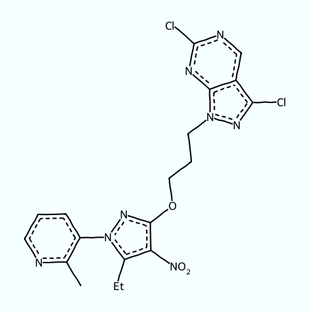 CCc1c([N+](=O)[O-])c(OCCCn2nc(Cl)c3cnc(Cl)nc32)nn1-c1cccnc1C